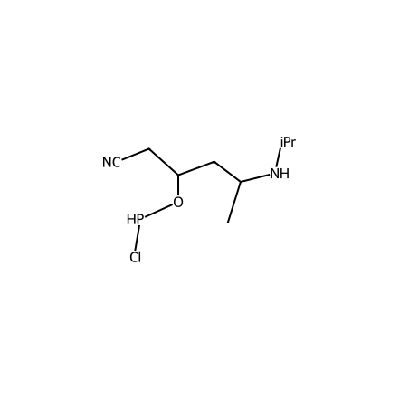 CC(C)NC(C)CC(CC#N)OPCl